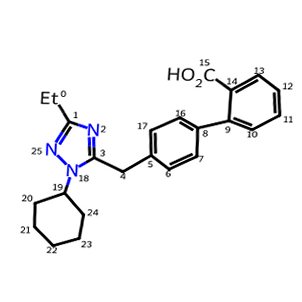 CCc1nc(Cc2ccc(-c3ccccc3C(=O)O)cc2)n(C2CCCCC2)n1